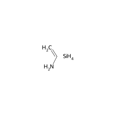 C=CN.[SiH4]